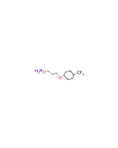 NOCCCOc1ccc(C(F)(F)F)cc1